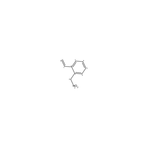 C=Cc1ccccc1C[N+](=O)[O-]